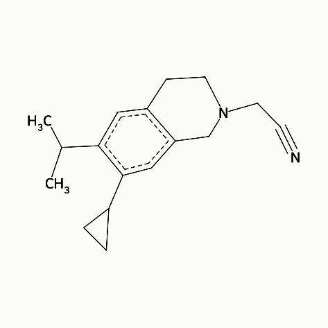 CC(C)c1cc2c(cc1C1CC1)CN(CC#N)CC2